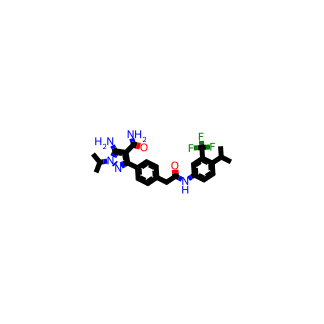 CC(C)c1ccc(NC(=O)Cc2ccc(-c3nn(C(C)C)c(N)c3C(N)=O)cc2)cc1C(F)(F)F